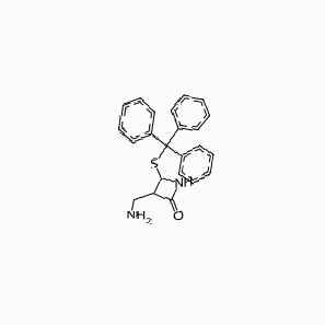 NCC1C(=O)NC1SC(c1ccccc1)(c1ccccc1)c1ccccc1